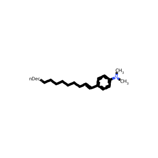 CCCCCCCCCCCCCCCCCC=Cc1ccc(N(C)C)cc1